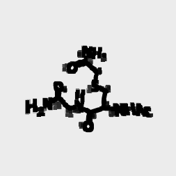 CC(=O)NC(CSCC(N)=O)C(=O)NCC(N)=O